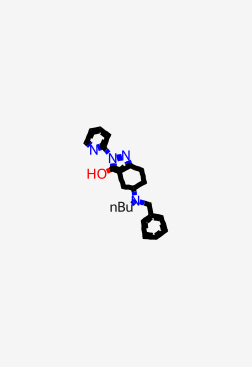 CCCCN(Cc1ccccc1)C1CCc2nn(-c3ccccn3)c(O)c2C1